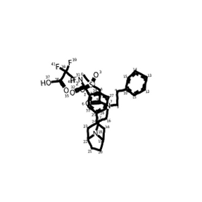 CS(=O)(=O)CC(=O)N(CCc1ccccc1)CCN1C2CCC1CC(c1cccc(C(N)=O)c1)C2.O=C(O)C(F)(F)F